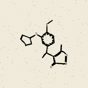 COc1ccc(C(C)C2=C(C)N=NC2=O)cc1OC1CCCC1